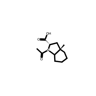 CC(=O)N1C2CCCC[C@@]2(C)C[C@H]1C(=O)O